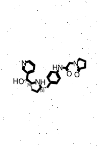 O=C(CN1CCCC1=O)Nc1ccc(C[C@@H]2CC[C@H]([C@H](O)c3cccnc3)N2)cc1